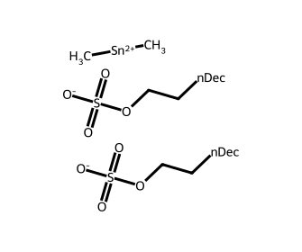 CCCCCCCCCCCCOS(=O)(=O)[O-].CCCCCCCCCCCCOS(=O)(=O)[O-].[CH3][Sn+2][CH3]